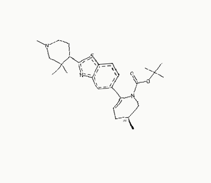 C[C@H]1CC=C(c2ccc3sc(C4CCN(C)CC4(C)C)nc3c2)N(C(=O)OC(C)(C)C)C1